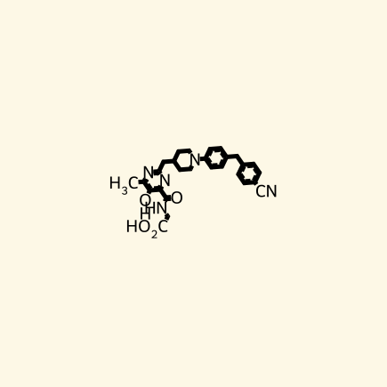 Cc1nc(CC2CCN(c3ccc(Cc4ccc(C#N)cc4)cc3)CC2)nc(C(=O)NCC(=O)O)c1O